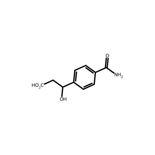 NC(=O)c1ccc(C(O)CC(=O)O)cc1